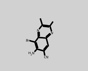 Cc1nc2cc(C#N)c(N)c(Br)c2nc1C